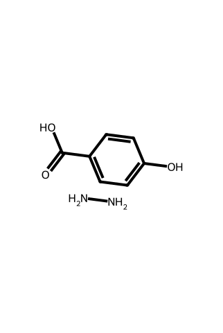 NN.O=C(O)c1ccc(O)cc1